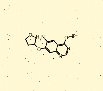 CC(C)Oc1ncnc2cc(OC3CCOC3)c(N)cc12